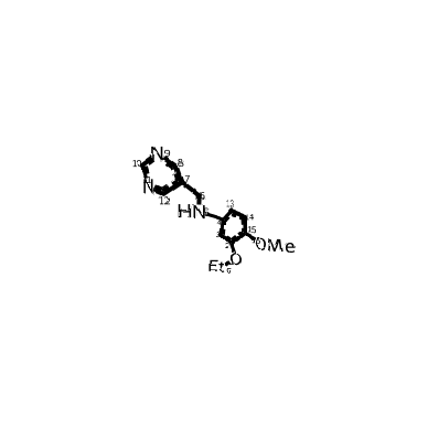 CCOc1cc(NCc2cncnc2)ccc1OC